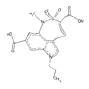 CCCn1cc2c3c(cc(C(=O)O)cc31)N(C)S(=O)(=O)C(C(=O)O)=C2